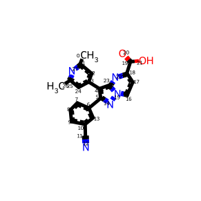 Cc1cc(-c2c(-c3cccc(C#N)c3)nn3ccc(C(=O)O)nc23)cc(C)n1